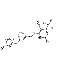 N#Cc1c(C(F)(F)F)cc(=O)[nH]c1SCc1cccc(Cc2nc(=O)o[nH]2)c1